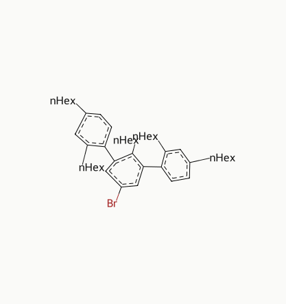 CCCCCCc1ccc(-c2cc(Br)cc(-c3ccc(CCCCCC)cc3CCCCCC)c2CCCCCC)c(CCCCCC)c1